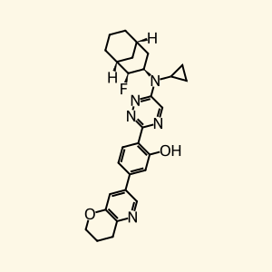 Oc1cc(-c2cnc3c(c2)OCCC3)ccc1-c1ncc(N(C2CC2)[C@@H]2C[C@H]3CCC[C@H](C3)[C@@H]2F)nn1